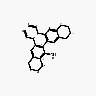 C=CCc1cc2c(cc1-c1c(CC=C)cc3c(c1O)CCCC3)CCCC2